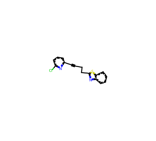 Clc1cccc(C#CCCc2nc3ccccc3s2)n1